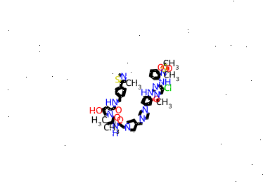 COc1cc(N2CCN(CC3CCN(CC(=O)N[C@H](C(=O)N4C[C@H](O)CC4C(=O)NCc4ccc(-c5scnc5C)cc4)C(C)C)CC3)CC2)ccc1Nc1ncc(Cl)c(Nc2ccccc2N(C)S(C)(=O)=O)n1